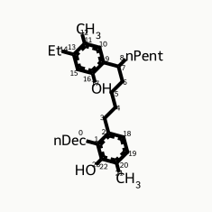 CCCCCCCCCCc1c(CCCCC(CCCCC)c2cc(C)c(CC)cc2O)ccc(C)c1O